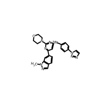 Cn1ncc2ccc(-c3cc(Nc4ccc(-n5ccnn5)cc4)nc(N4CCOCC4)n3)cc21